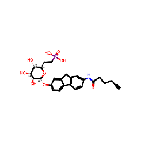 C#CCCCC(=O)Nc1ccc2c(c1)Cc1cc(O[C@H]3O[C@H](CCP(=O)(O)O)[C@@H](O)[C@H](O)[C@@H]3O)ccc1-2